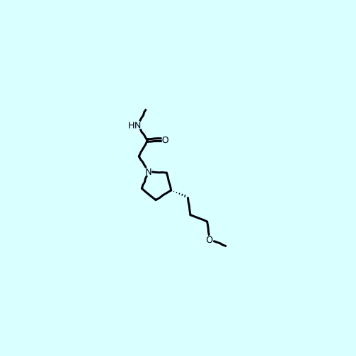 CNC(=O)CN1CC[C@@H](CCCOC)C1